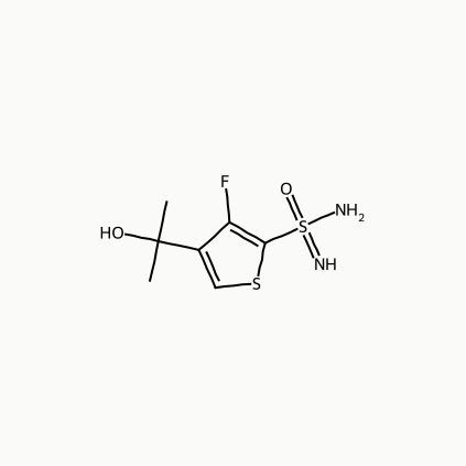 CC(C)(O)c1csc(S(=N)(N)=O)c1F